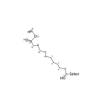 CCCCCCC(O)CCCCCCCCCCC(=O)OCCC